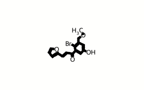 COCc1cc(O)cc(C(=O)/C=C/c2ccco2)c1Br